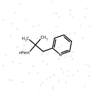 CCCCCC(C)(C)[CH]c1ccccn1